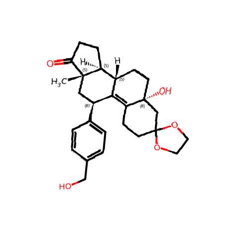 C[C@]12C[C@H](c3ccc(CO)cc3)C3=C4CCC5(C[C@]4(O)CC[C@H]3[C@@H]1CCC2=O)OCCO5